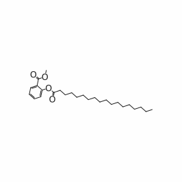 CCCCCCCCCCCCCCCCCC(=O)Oc1ccccc1C(=O)OC